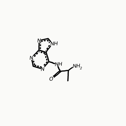 CC(N)C(=O)Nc1ncnc2nc[nH]c12